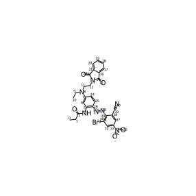 CCC(=O)Nc1cc(N(CC)CCN2C(=O)c3ccccc3C2=O)ccc1/N=N/c1c(Br)cc([N+](=O)[O-])cc1C#N